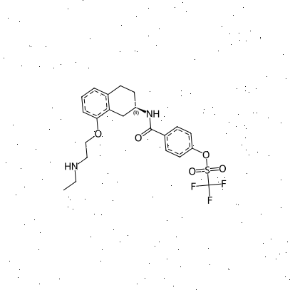 CCNCCOc1cccc2c1C[C@H](NC(=O)c1ccc(OS(=O)(=O)C(F)(F)F)cc1)CC2